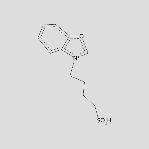 O=S(=O)(O)CCCC[n+]1coc2ccccc21